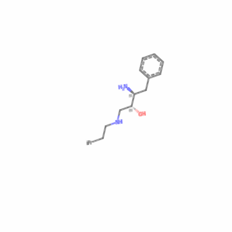 CC(C)CCNC[C@@H](O)[C@@H](N)Cc1ccccc1